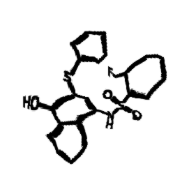 O=S(=O)(Nc1cc(Sc2ccccc2)c(O)c2ccccc12)c1ccccc1F